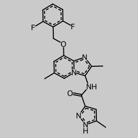 Cc1cc(OCc2c(F)cccc2F)c2nc(C)c(NC(=O)c3cc(C)[nH]n3)n2c1